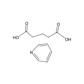 O=C(O)CCCC(=O)O.c1ccncc1